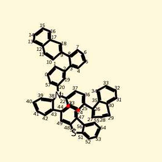 c1cc(-c2ccccc2-c2ccc3ccccc3c2)cc(N(c2ccc(-c3cccc4ccccc34)cc2)c2ccccc2-c2ccc3c(c2)sc2ccccc23)c1